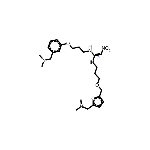 CN(C)Cc1cccc(OCCCN/C(=C\[N+](=O)[O-])NCCCOCc2ccc(CN(C)C)o2)c1